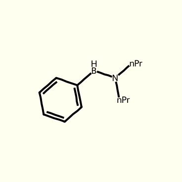 CCCN(Bc1ccccc1)CCC